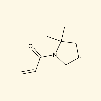 C=CC(=O)N1C[CH]CC1(C)C